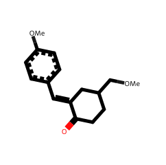 COCC1CCC(=O)C(=Cc2ccc(OC)cc2)C1